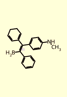 B/C(=C(\C1=CCCC=C1)c1ccc(NC)cc1)c1ccccc1